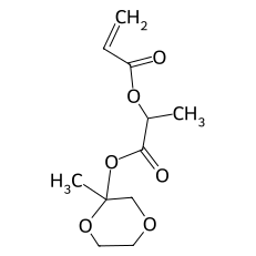 C=CC(=O)OC(C)C(=O)OC1(C)COCCO1